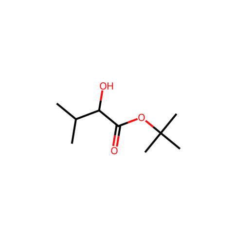 CC(C)C(O)C(=O)OC(C)(C)C